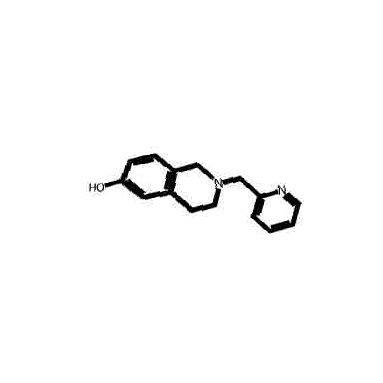 Oc1ccc2c(c1)CCN(Cc1ccccn1)C2